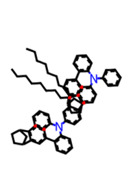 CCCCCCCCC1(CCCCCCCC)c2cc(N(c3ccccc3)c3ccccc3-c3ccc4c(c3)C3CCC4C3)ccc2-c2ccc(N(c3ccccc3)c3ccccc3-c3ccc4c(c3)C3CCC4C3)cc21